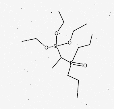 CCCP(=O)(CCC)C(C)[Si](OCC)(OCC)OCC